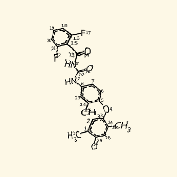 Cc1cc(Oc2ccc(NC(=O)NC(=O)c3c(F)cccc3F)cc2C)c(C)cc1Cl